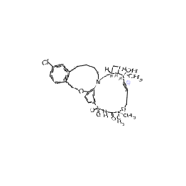 CC1(C)OC/C=C/[C@](C)(O)[C@@H]2CC[C@H]2CN2CCCCc3cc(Cl)ccc3COc3ccc(cc32)S(=O)(=O)NC1=O